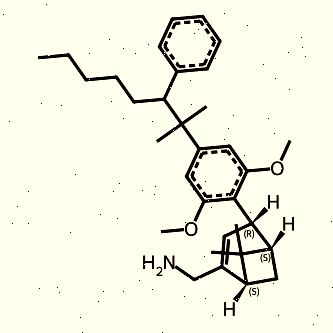 CCCCCC(c1ccccc1)C(C)(C)c1cc(OC)c([C@H]2C=C(CN)[C@H]3C[C@@H]2C3(C)C)c(OC)c1